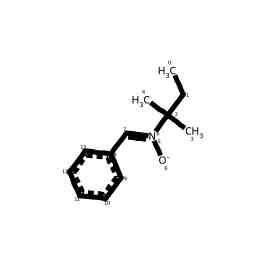 CCC(C)(C)[N+]([O-])=Cc1ccccc1